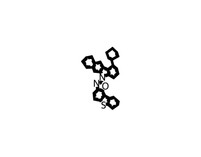 C1=CC(c2cccc3c2c2cc4ccccc4cc2n3-c2nc3ccc4sc5ccccc5c4c3o2)=CCC1